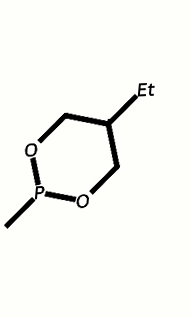 CC[C]1COP(C)OC1